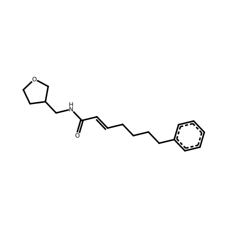 O=C(/C=C/CCCCc1ccccc1)NCC1CCOC1